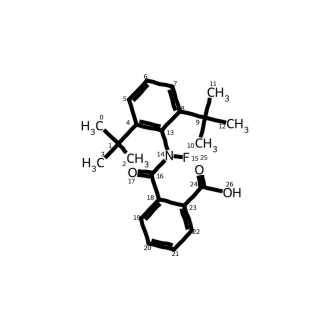 CC(C)(C)c1cccc(C(C)(C)C)c1N(F)C(=O)c1ccccc1C(=O)O